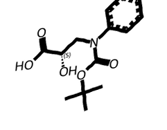 CC(C)(C)OC(=O)N(C[C@H](O)C(=O)O)c1ccccc1